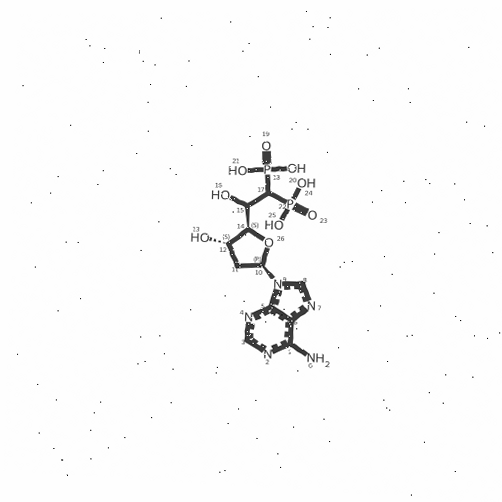 Nc1ncnc2c1ncn2[C@H]1C[C@H](O)[C@@H](C(O)C(P(=O)(O)O)P(=O)(O)O)O1